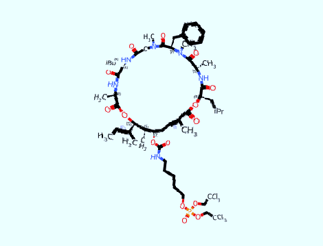 C/C=C(\C)[C@H]1OC(=O)[C@@H](C)NC(=O)[C@H]([C@H](C)CC)NC(=O)CN(C)C(=O)[C@@H](Cc2ccccc2)N(C)C(=O)[C@H](C)NC(=O)[C@@H](CC(C)C)OC(=O)/C(C)=C/C[C@H](OC(=O)NCCCCCOP(=O)(OCC(Cl)(Cl)Cl)OCC(Cl)(Cl)Cl)[C@@H]1C